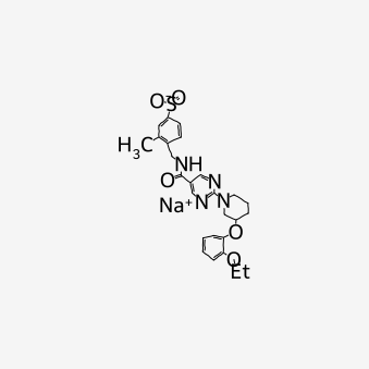 CCOc1ccccc1OC1CCCN(c2ncc(C(=O)NCc3ccc(S(=O)[O-])cc3C)cn2)C1.[Na+]